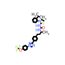 CC(CCc1ccc(-c2ncn(-c3ccc(OC(F)(F)F)cc3)n2)cc1)NC(=O)NC1SCCN1c1ccccc1C(C)C